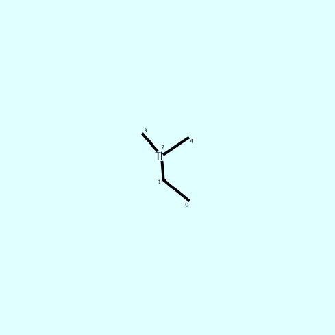 C[CH2][Tl]([CH3])[CH3]